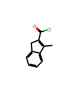 CC1=C(C(=O)Cl)Cc2ccccc21